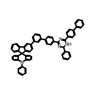 c1ccc(-c2ccc(C3=NC(c4ccc(-c5cccc(-c6ccc7c(c6)-c6ccccc6C76c7ccccc7N(c7ccccc7)c7ccccc76)c5)cc4)=NC(c4ccccc4)N3)cc2)cc1